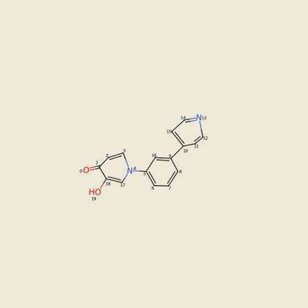 O=c1ccn(-c2cccc(-c3ccncc3)c2)cc1O